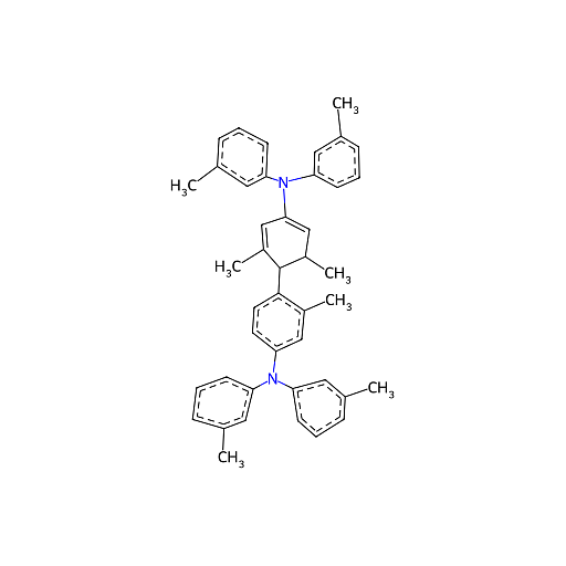 CC1=CC(N(c2cccc(C)c2)c2cccc(C)c2)=CC(C)C1c1ccc(N(c2cccc(C)c2)c2cccc(C)c2)cc1C